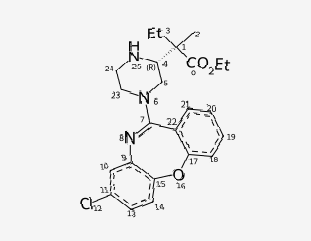 CCOC(=O)C(C)(CC)[C@@H]1CN(C2=Nc3cc(Cl)ccc3Oc3ccccc32)CCN1